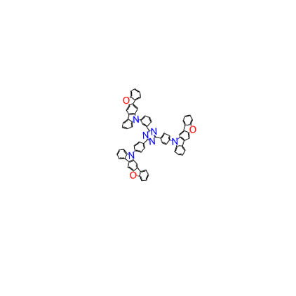 c1cc(-c2nc(-c3ccc(-n4c5ccccc5c5cc6oc7ccccc7c6cc54)cc3)nc(-c3ccc(-n4c5ccccc5c5cc6oc7ccccc7c6cc54)cc3)n2)cc(-n2c3ccccc3c3cc4oc5ccccc5c4cc32)c1